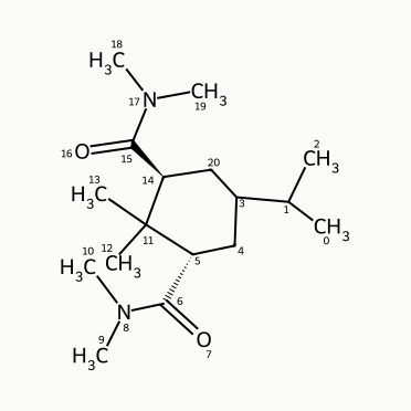 CC(C)C1C[C@H](C(=O)N(C)C)C(C)(C)[C@@H](C(=O)N(C)C)C1